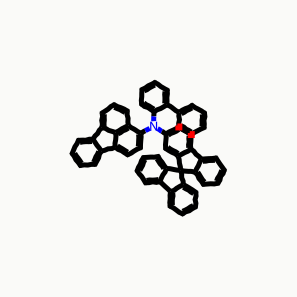 c1ccc(-c2ccccc2N(c2ccc3c(c2)C2(c4ccccc4-c4ccccc42)c2ccccc2-3)c2ccc3c4c(cccc24)-c2ccccc2-3)cc1